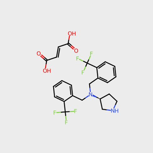 FC(F)(F)c1ccccc1CN(Cc1ccccc1C(F)(F)F)[C@H]1CCNC1.O=C(O)C=CC(=O)O